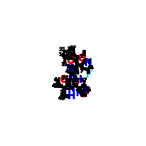 COc1ncc(F)cc1C(CO[Si](C(C)C)(C(C)C)C(C)C)n1cc(NC(=O)C(NC(=O)c2nonc2C)C(C2CC2)C2CC2)cn1